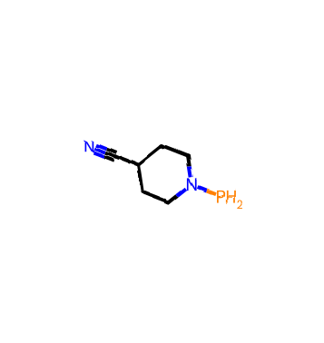 N#CC1CCN(P)CC1